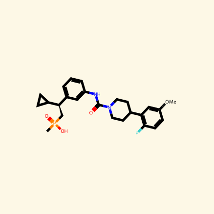 COc1ccc(F)c(C2CCN(C(=O)Nc3cccc([C@@H](CP(C)(=O)O)C4CC4)c3)CC2)c1